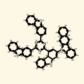 C1=C(c2nc(-c3ccc4oc5ccccc5c4c3)nc(-c3ccc4sc5ccccc5c4c3)n2)C2c3ccccc3OC2C=C1n1c2ccccc2c2cc3ccccc3cc21